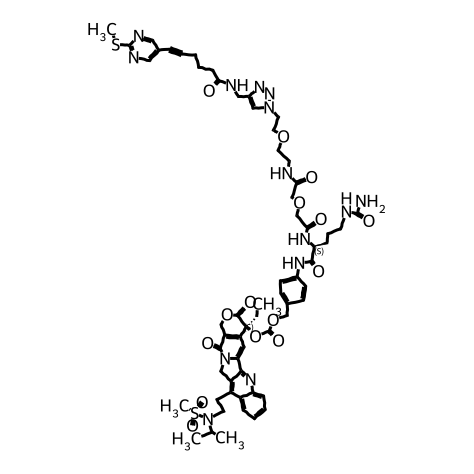 CC[C@@]1(OC(=O)OCc2ccc(NC(=O)[C@H](CCCNC(N)=O)NC(=O)COCC(=O)NCCOCCn3cc(CNC(=O)CCCC#Cc4cnc(SC)nc4)nn3)cc2)C(=O)OCc2c1cc1n(c2=O)Cc2c-1nc1ccccc1c2CCN(C(C)C)S(C)(=O)=O